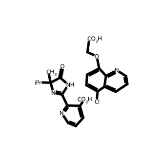 CC(C)C1(C)N=C(c2ncccc2C(=O)O)NC1=O.O=C(O)COc1ccc(Cl)c2cccnc12